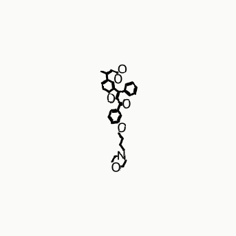 Cc1cc(=O)oc2c1ccc1oc(C(=O)c3cccc(OCCCCN4CCOCC4)c3)c(-c3ccccc3)c12